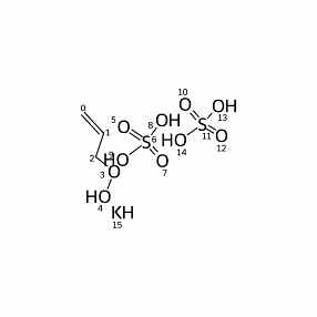 C=CCOO.O=S(=O)(O)O.O=S(=O)(O)O.[KH]